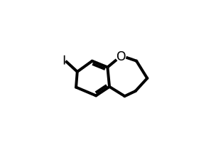 IC1C=C2OCCCCC2=CC1